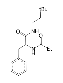 CCC(=O)NC(Cc1ccccc1)C(=O)NCCC(C)(C)C